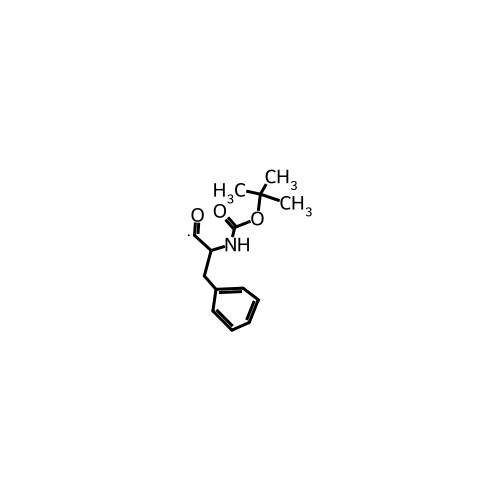 CC(C)(C)OC(=O)NC([C]=O)Cc1ccccc1